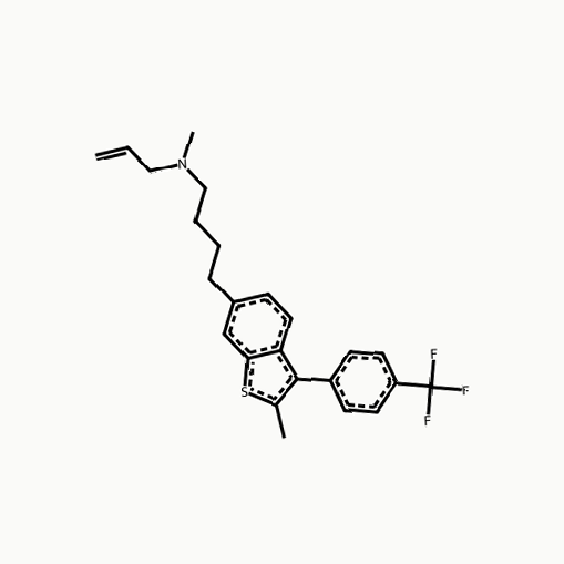 C=CCN(C)CCCCc1ccc2c(-c3ccc(C(F)(F)F)cc3)c(C)sc2c1